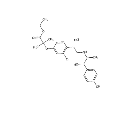 CCOC(=O)C(C)(C)Oc1ccc(CCN[C@@H](C)[C@@H](O)c2ccc(O)cc2)c(Cl)c1.Cl